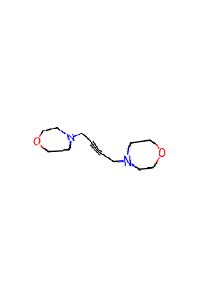 C(#CCN1CCOCC1)CN1CCOCC1